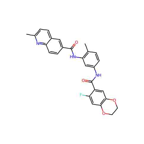 Cc1ccc2cc(C(=O)Nc3cc(NC(=O)c4cc5c(cc4F)OCCO5)ccc3C)ccc2n1